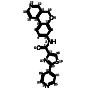 O=C(Nc1ccc2c(c1)OCc1cnccc1-2)c1csc(-c2ccncc2)n1